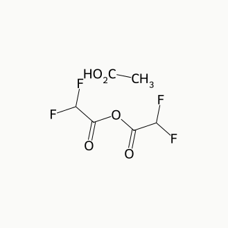 CC(=O)O.O=C(OC(=O)C(F)F)C(F)F